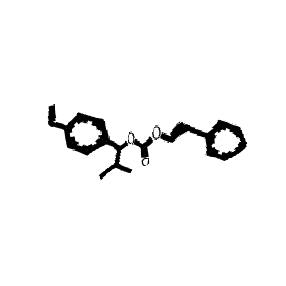 C=Cc1ccc(C(OC(=O)OC=Cc2ccccc2)C(C)C)cc1